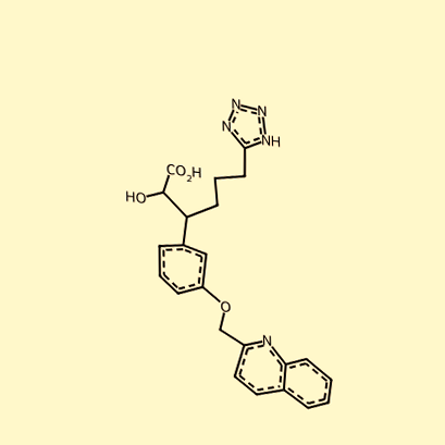 O=C(O)C(O)C(CCCc1nnn[nH]1)c1cccc(OCc2ccc3ccccc3n2)c1